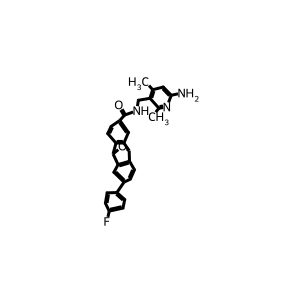 Cc1cc(N)nc(C)c1CNC(=O)c1ccc2c(c1)C1OC2c2cc(-c3ccc(F)cc3)ccc21